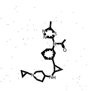 CC(=O)N(c1cccc(C2CC2NC2CCN(C3CC3)CC2)c1)c1nnc(C)s1